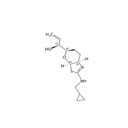 C=C[C@H](O)[C@H]1CC[C@H]2N=C(NCC3CC3)S[C@H]2O1